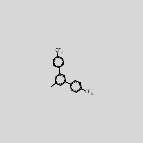 Cc1cc(-c2ccc(C(F)(F)F)cc2)cc(-c2ccc(C(F)(F)F)cc2)c1